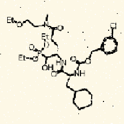 CCOCCN(C)C(=O)CC[C@H](NC(=O)[C@H](CC1CCCCC1)NC(=O)OCc1cccc(Cl)c1)C(O)P(=O)(OCC)OCC